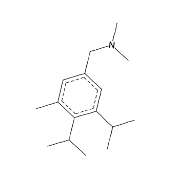 Cc1cc(CN(C)C)cc(C(C)C)c1C(C)C